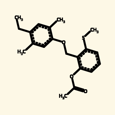 CCc1cc(C)c(OCc2c(OC(C)=O)cccc2SC)cc1C